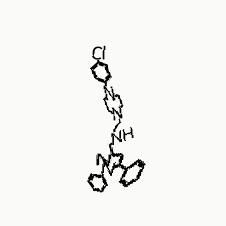 Clc1ccc(N2CCN(CCNCc3cc(-c4ccccc4)n(-c4ccccc4)n3)CC2)cc1